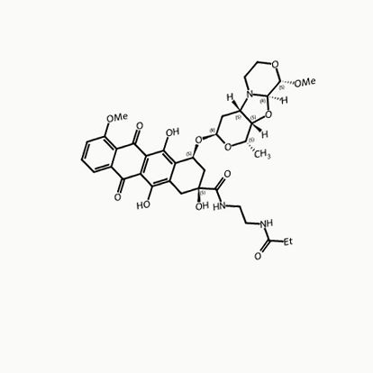 CCC(=O)NCCNC(=O)[C@]1(O)Cc2c(O)c3c(c(O)c2[C@@H](O[C@H]2C[C@H]4[C@H](O[C@@H]5[C@@H](OC)OCCN54)[C@H](C)O2)C1)C(=O)c1c(OC)cccc1C3=O